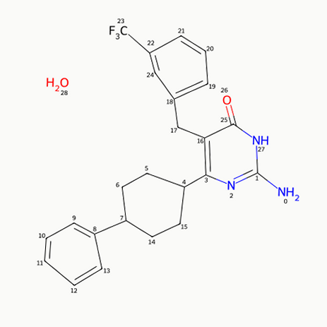 Nc1nc(C2CCC(c3ccccc3)CC2)c(Cc2cccc(C(F)(F)F)c2)c(=O)[nH]1.O